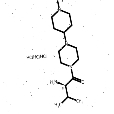 CC(C)[C@@H](N)C(=O)N1CCN(C2CCN(C)CC2)CC1.Cl.Cl.Cl